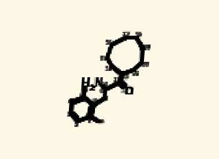 Cc1cccc(C)c1CC(N)C(=O)C1CCCCCCCC1